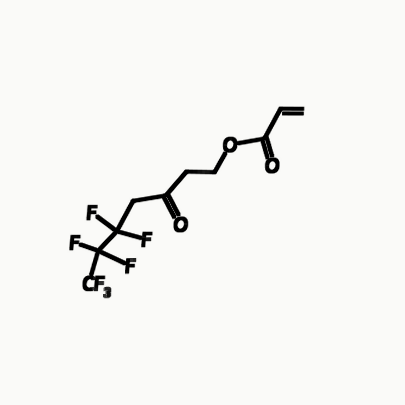 C=CC(=O)OCCC(=O)CC(F)(F)C(F)(F)C(F)(F)F